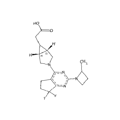 CC1CCN1c1nc(N2C[C@@H]3C(CC(=O)O)[C@@H]3C2)c2c(n1)C(F)(F)CC2